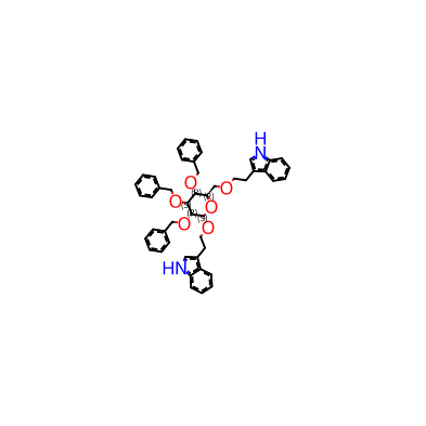 c1ccc(CO[C@@H]2[C@@H](OCc3ccccc3)[C@@H](OCCc3c[nH]c4ccccc34)O[C@H](COCCc3c[nH]c4ccccc34)[C@H]2OCc2ccccc2)cc1